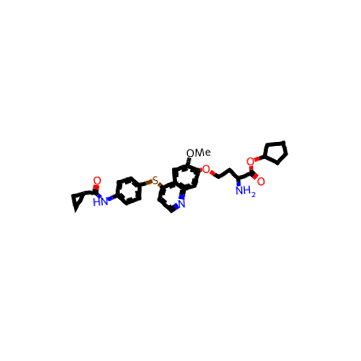 COc1cc2c(Sc3ccc(NC(=O)C4CC4)cc3)ccnc2cc1OCCC(N)C(=O)OC1CCCC1